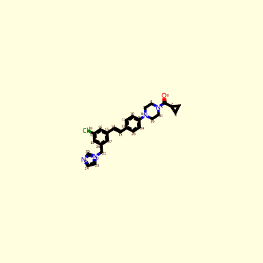 O=C(C1CC1)N1CCN(c2ccc(C=Cc3cc(Cl)cc(Cn4ccnc4)c3)cc2)CC1